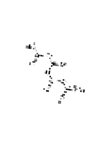 CCCCC(=O)OC(=O)OC(=O)OC(=O)CCCC